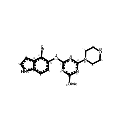 COc1nc(Oc2ccc3[nH]c[c]c3c2Br)nc(N2CCOCC2)n1